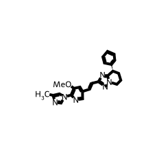 COc1cc(/C=C/c2nc3n(n2)CCC[C@H]3c2ccccc2)cnc1-n1cnc(C)c1